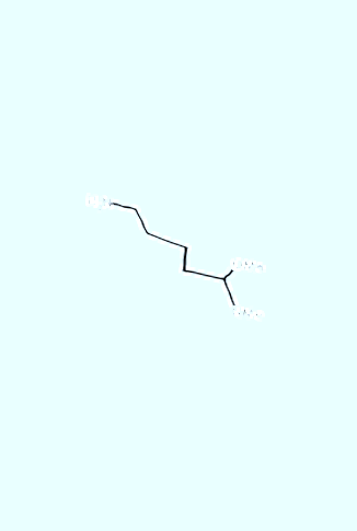 CNC(CCCCN)OC